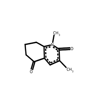 Cc1cc2c(n(C)c1=O)CCCC2=O